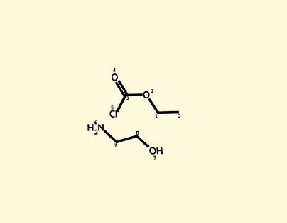 CCOC(=O)Cl.NCCO